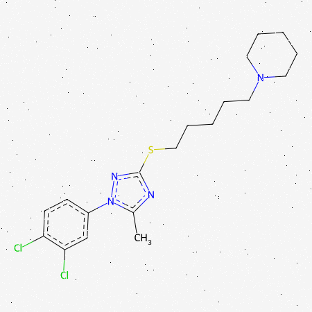 Cc1nc(SCCCCCN2CCCCC2)nn1-c1ccc(Cl)c(Cl)c1